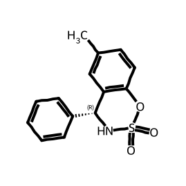 Cc1ccc2c(c1)[C@@H](c1ccccc1)NS(=O)(=O)O2